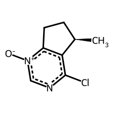 C[C@@H]1CCc2c1c(Cl)nc[n+]2[O-]